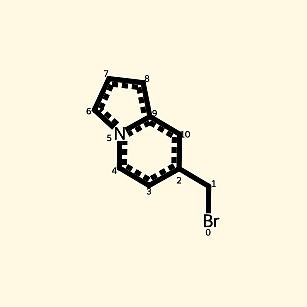 BrCc1ccn2cccc2c1